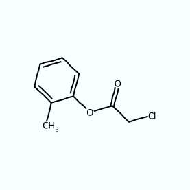 Cc1ccccc1OC(=O)CCl